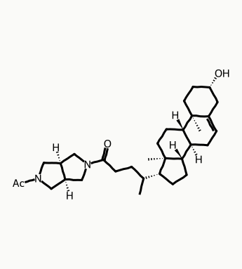 CC(=O)N1C[C@@H]2CN(C(=O)CCC(C)[C@H]3CC[C@H]4[C@@H]5CC=C6C[C@@H](O)CC[C@]6(C)[C@H]5CC[C@]34C)C[C@@H]2C1